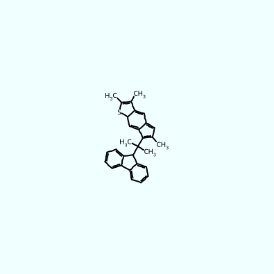 CC1=C(C(C)(C)C2c3ccccc3-c3ccccc32)C2=CC3SC(C)=C(C)C3=CC2=C1